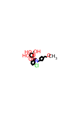 COCCc1ccc(Cn2cc([C@@H]3O[C@H](CO)[C@@H](O)[C@H](O)[C@H]3O)c3cccc(Cl)c32)cc1